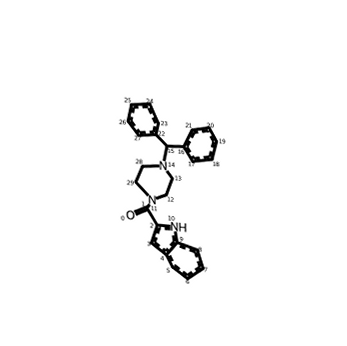 O=C(c1cc2ccccc2[nH]1)N1CCN(C(c2ccccc2)c2ccccc2)CC1